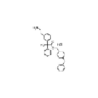 Cl.NCCc1cccc(C(O)(C(=O)OCC2CCN(Cc3ccccc3)CC2)c2ccccc2)c1